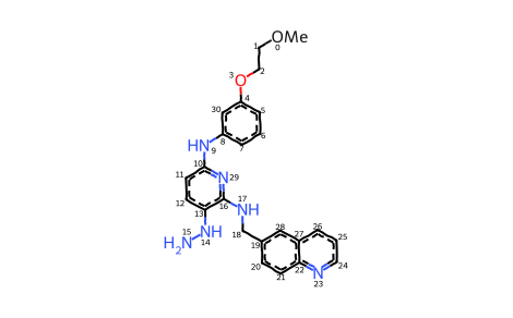 COCCOc1cccc(Nc2ccc(NN)c(NCc3ccc4ncccc4c3)n2)c1